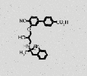 CC(C)(Cc1ccccc1Br)NCC(O)COc1cc(-c2ccc(C(=O)O)cc2)ccc1C#N